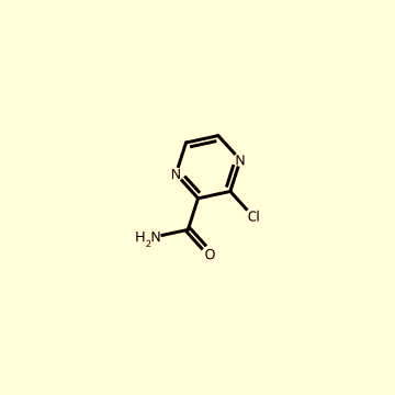 NC(=O)c1nccnc1Cl